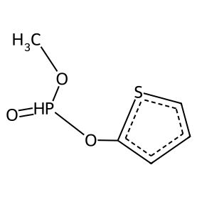 CO[PH](=O)Oc1cccs1